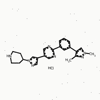 Cc1nn(C)cc1-c1cccc(-c2ncc(-c3cnn(C4CCNCC4)c3)cn2)c1.Cl